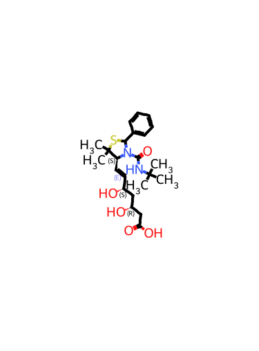 CC(C)(C)NC(=O)N1C(c2ccccc2)SC(C)(C)[C@@H]1/C=C/[C@@H](O)C[C@@H](O)CC(=O)O